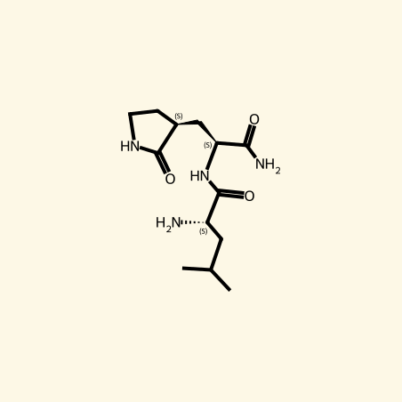 CC(C)C[C@H](N)C(=O)N[C@@H](C[C@@H]1CCNC1=O)C(N)=O